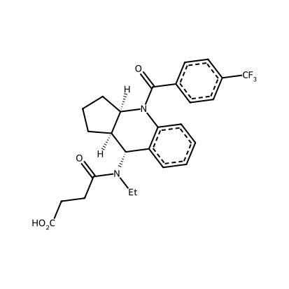 CCN(C(=O)CCC(=O)O)[C@H]1c2ccccc2N(C(=O)c2ccc(C(F)(F)F)cc2)[C@@H]2CCC[C@@H]21